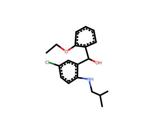 CCOc1ccccc1C(O)c1cc(Cl)ccc1NCC(C)C